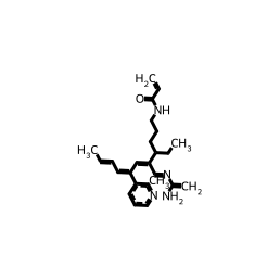 C=CC(=O)NCCCC(CC)C(=C/C(=C\C=C\C)c1cccnc1)/C(C)=N/C(=C)N